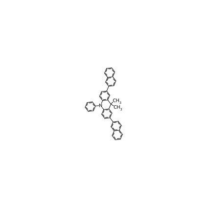 CC1(C)c2cc(-c3ccc4ccccc4c3)ccc2N(c2ccccc2)c2ccc(-c3ccc4ccccc4c3)cc21